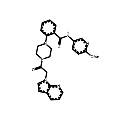 COc1ccc(NC(=O)c2ccccc2N2CCN(C(=O)Cn3ccc4cccnc43)CC2)cn1